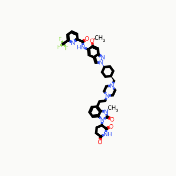 COc1cc2nn([C@H]3CC[C@H](CN4CCN(CCc5cccc6c5n(C)c(=O)n6C5CCC(=O)NC5=O)CC4)CC3)cc2cc1NC(=O)c1cccc(C(F)(F)F)n1